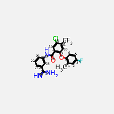 Cc1cc(F)ccc1Oc1cc(C(F)(F)F)c(Cl)cc1C(=O)Nc1cccc(C(=N)N)c1